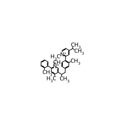 Cc1cc(CC(C)c2c[n+](C)c(-c3ccccc3C)cc2C)ccc1-c1cc(C(C)C)cc[n+]1C